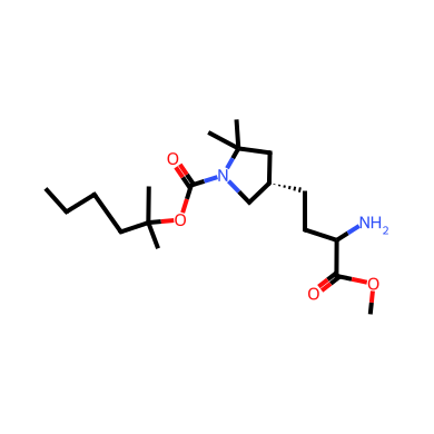 CCCCC(C)(C)OC(=O)N1C[C@@H](CCC(N)C(=O)OC)CC1(C)C